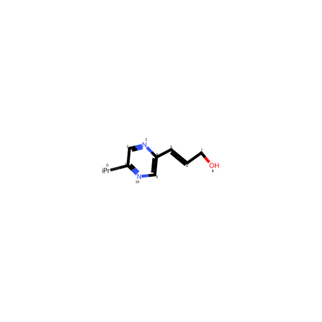 CC(C)c1cnc(/C=C/CO)cn1